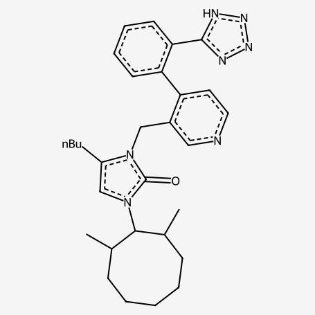 CCCCc1cn(C2C(C)CCCCCC2C)c(=O)n1Cc1cnccc1-c1ccccc1-c1nnn[nH]1